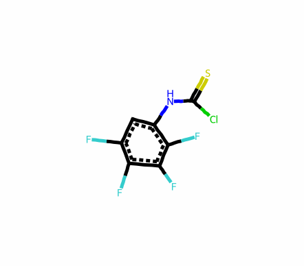 Fc1cc(NC(=S)Cl)c(F)c(F)c1F